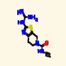 CCNC(=O)N1CCc2nc(NC(=N)N)sc2C1